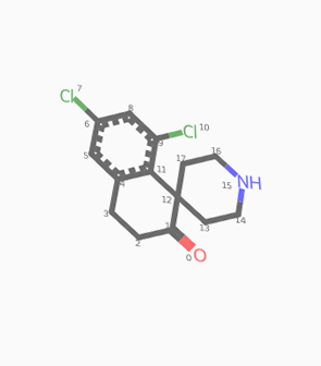 O=C1CCc2cc(Cl)cc(Cl)c2C12CCNCC2